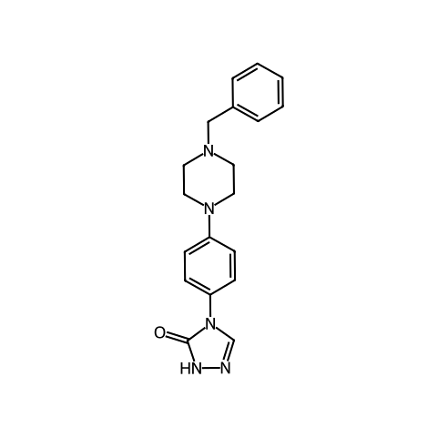 O=c1[nH]ncn1-c1ccc(N2CCN(Cc3ccccc3)CC2)cc1